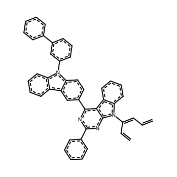 C=C/C=C(\C=C)n1c2ccccc2c2c(-c3ccc4c(c3)c3ccccc3n4-c3cccc(-c4ccccc4)c3)nc(-c3ccccc3)nc21